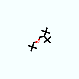 CC(C)(C)COCC(C(C)(C)C)C(C)(C)C